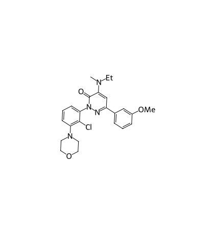 CCN(C)c1cc(-c2cccc(OC)c2)nn(-c2cccc(N3CCOCC3)c2Cl)c1=O